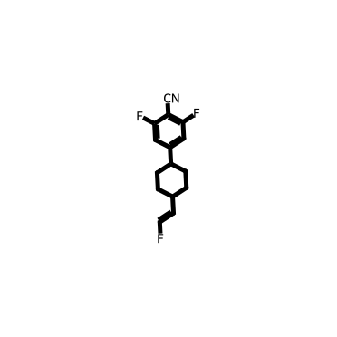 N#Cc1c(F)cc(C2CCC(/C=C/F)CC2)cc1F